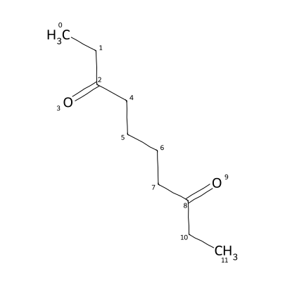 CCC(=O)CCCCC(=O)CC